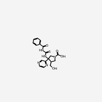 O=C(NC(=S)NC1(c2cnccn2)CN(C(=O)O)CC1CO)c1ccccc1